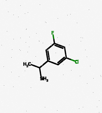 CC([SiH3])c1cc(F)cc(Cl)c1